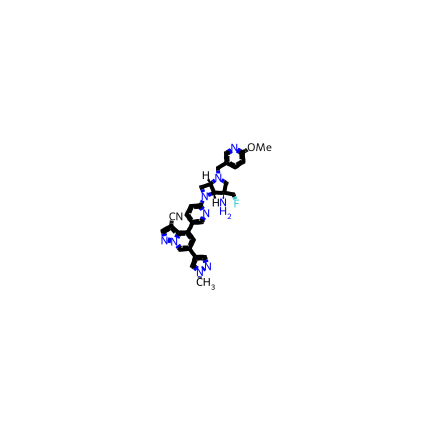 COc1ccc(CN2C[C@@](N)(CF)[C@H]3[C@@H]2CN3c2ccc(-c3cc(-c4cnn(C)c4)cn4ncc(C#N)c34)cn2)cn1